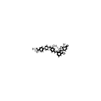 Cc1cc(CNc2cccc3c2C(=O)N(C2CCC(=O)NC2=O)C3=O)ccc1CN1CCN(c2ccc(C(N)=O)nc2)CC1